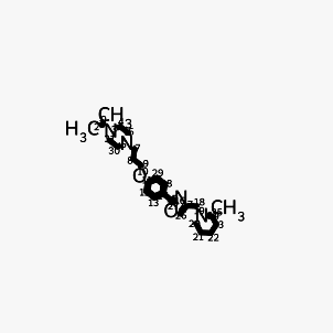 CC(C)N1CCN(CCCOc2ccc(-c3nc(CN4CCCCC4C)co3)cc2)CC1